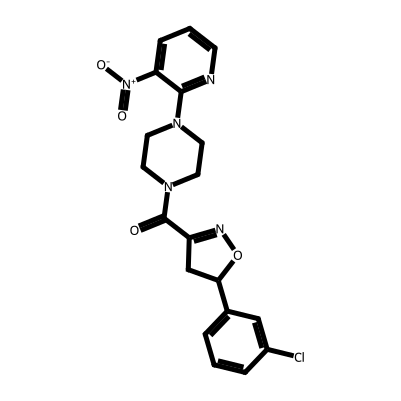 O=C(C1=NOC(c2cccc(Cl)c2)C1)N1CCN(c2ncccc2[N+](=O)[O-])CC1